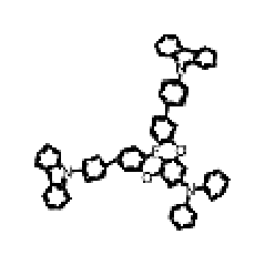 c1ccc(N(c2ccccc2)c2cc3c4c(c2)Oc2cc(-c5ccc(-n6c7ccccc7c7ccccc76)cc5)ccc2B4c2ccc(-c4ccc(-n5c6ccccc6c6ccccc65)cc4)cc2O3)cc1